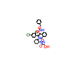 O=C(CO)NC1CCCC[C@@H]1N1C(=O)c2ccccc2[C@@H](C(=O)NOCc2ccccc2)[C@@H]1c1ccc(Cl)cc1Cl